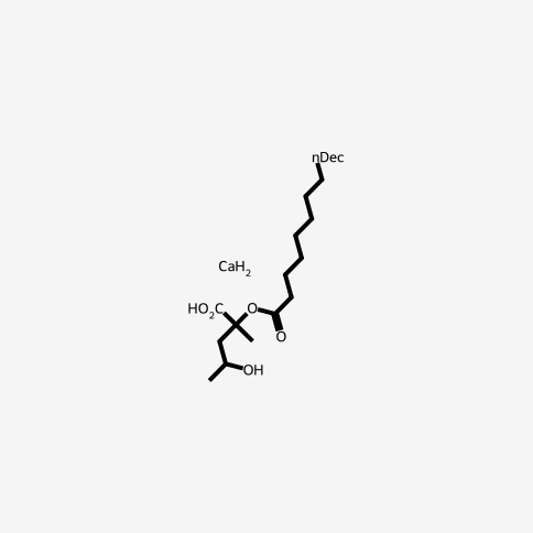 CCCCCCCCCCCCCCCCCC(=O)OC(C)(CC(C)O)C(=O)O.[CaH2]